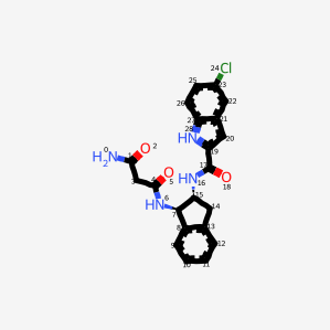 NC(=O)CC(=O)N[C@@H]1c2ccccc2C[C@H]1NC(=O)c1cc2cc(Cl)ccc2[nH]1